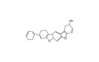 CCCC1C=Cc2oc3c(c2C1)=CC1C2=C(C=C(C4=CC=CCC4)CC2)OC1C=3